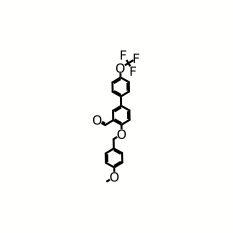 COc1ccc(COc2ccc(-c3ccc(OC(F)(F)F)cc3)cc2C=O)cc1